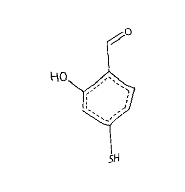 O=Cc1ccc(S)cc1O